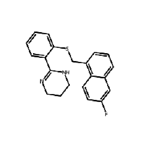 Fc1ccc2c(CSc3ccccc3C3=NCCCN3)cccc2c1